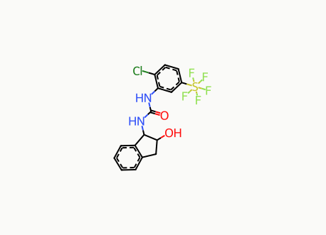 O=C(Nc1cc(S(F)(F)(F)(F)F)ccc1Cl)NC1c2ccccc2CC1O